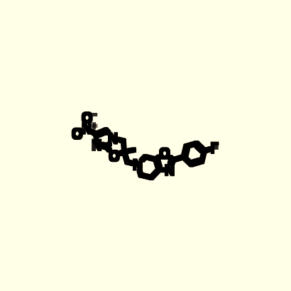 CC1(CN2CCc3nc(-c4ccc(F)cc4)oc3C2)Cn2cc([N+](=O)[O-])nc2O1